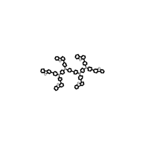 c1ccc2c(c1)oc1cc(-c3ccc(N(c4ccc(-c5cccc6c5oc5ccccc56)cc4)c4ccc(N(c5ccc(-c6ccc(N(c7ccc(-c8cccc9c8oc8ccccc89)cc7)c7ccc(N(c8ccc(-c9ccc%10c(c9)oc9ccccc9%10)cc8)c8ccc(-c9cccc%10c9oc9ccccc9%10)cc8)cc7)cc6)cc5)c5ccc(-c6cccc7c6oc6ccccc67)cc5)cc4)cc3)ccc12